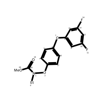 CCN(Oc1ccc(Oc2cc(F)cc(F)c2)cc1)C(=O)OC